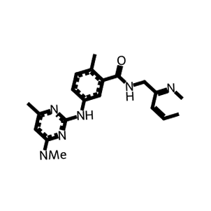 C/C=C\C(CNC(=O)c1cc(Nc2nc(C)cc(NC)n2)ccc1C)=N/C